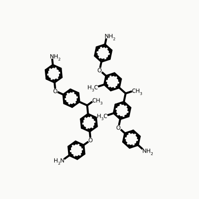 CC(c1ccc(Oc2ccc(N)cc2)cc1)c1ccc(Oc2ccc(N)cc2)cc1.Cc1cc(C(C)c2ccc(Oc3ccc(N)cc3)c(C)c2)ccc1Oc1ccc(N)cc1